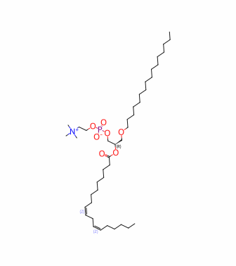 CCCCC/C=C\C/C=C\CCCCCCCC(=O)O[C@H](COCCCCCCCCCCCCCCCC)COP(=O)([O-])OCC[N+](C)(C)C